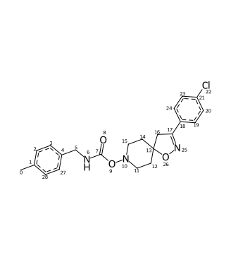 Cc1ccc(CNC(=O)ON2CCC3(CC2)CC(c2ccc(Cl)cc2)=NO3)cc1